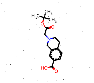 CC(C)(C)OC(=O)CN1CCc2ccc(C(=O)O)cc2C1